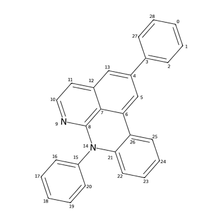 c1ccc(-c2cc3c4c(nccc4c2)N(c2ccccc2)c2ccccc2-3)cc1